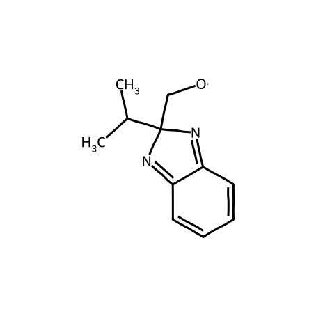 CC(C)C1(C[O])N=c2ccccc2=N1